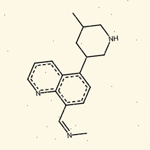 C/N=C\c1ccc(C2CNCC(C)C2)c2cccnc12